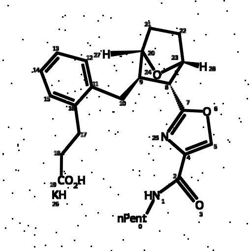 CCCCCNC(=O)c1coc([C@@H]2[C@@H](Cc3ccccc3CCC(=O)O)[C@@H]3CC[C@H]2O3)n1.[KH]